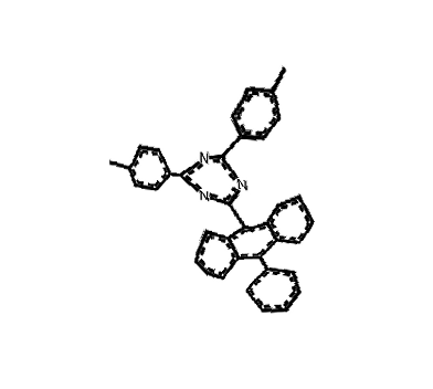 Cc1ccc(-c2nc(-c3ccc(C)cc3)nc(-c3c4ccccc4c(-c4ccccc4)c4ccccc34)n2)cc1